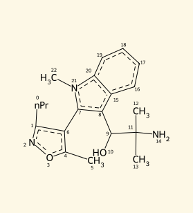 CCCc1noc(C)c1-c1c(C(O)C(C)(C)N)c2ccccc2n1C